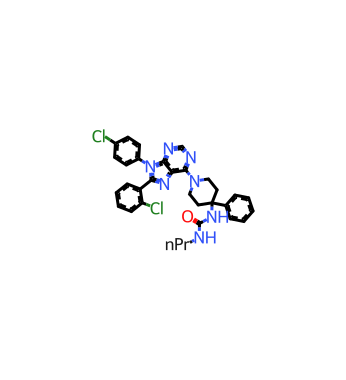 CCCNC(=O)NC1(c2ccccc2)CCN(c2ncnc3c2nc(-c2ccccc2Cl)n3-c2ccc(Cl)cc2)CC1